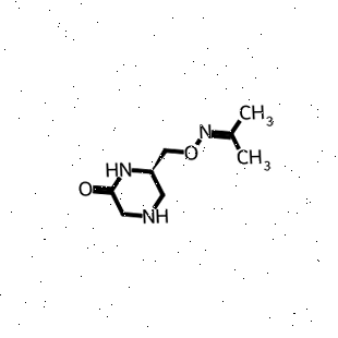 CC(C)=NOC[C@H]1CNCC(=O)N1